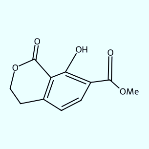 COC(=O)c1ccc2c(c1O)C(=O)OCC2